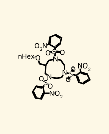 CCCCCCOCC1CN(S(=O)(=O)c2ccccc2[N+](=O)[O-])CCN(S(=O)(=O)c2ccccc2[N+](=O)[O-])CCN(S(=O)(=O)c2ccccc2[N+](=O)[O-])C1